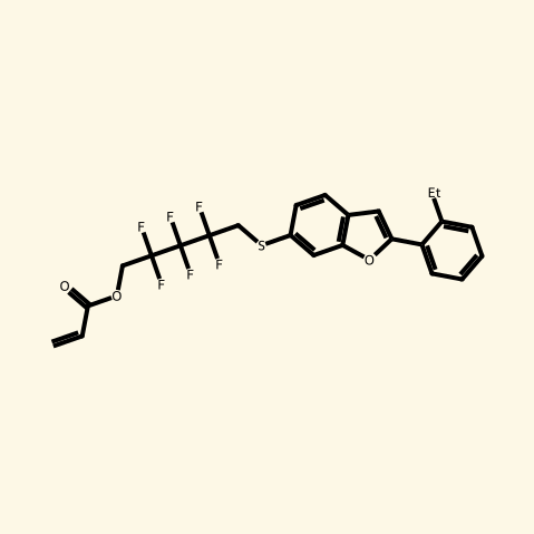 C=CC(=O)OCC(F)(F)C(F)(F)C(F)(F)CSc1ccc2cc(-c3ccccc3CC)oc2c1